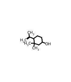 C=C(C)C1CCC(O)CC1(C)C